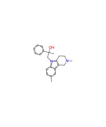 Cc1ccc2c(c1)c1c(n2CC(C)(O)c2ccccc2)CCN(C)C1